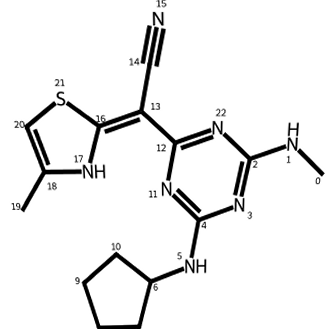 CNc1nc(NC2CCCC2)nc(C(C#N)=C2NC(C)=CS2)n1